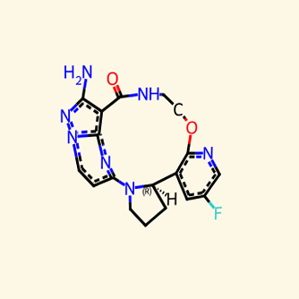 Nc1nn2ccc3nc2c1C(=O)NCCOc1ncc(F)cc1[C@H]1CCCN31